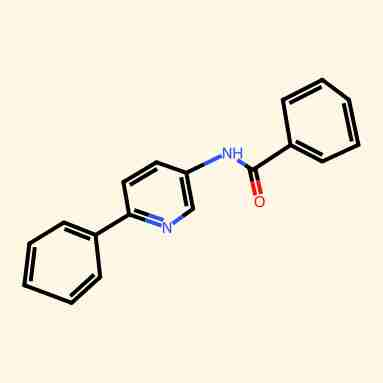 O=C(Nc1ccc(-c2ccccc2)nc1)c1ccccc1